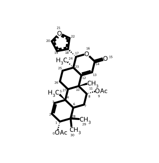 CC(=O)O[C@@H]1C=C[C@@]2(C)C(C[C@@H](OC(C)=O)[C@@]3(C)C4=CC(=O)O[C@@H](c5ccoc5)[C@]4(C)CCC23)C1(C)C